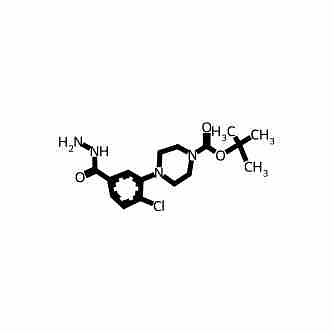 CC(C)(C)OC(=O)N1CCN(c2cc(C(=O)NN)ccc2Cl)CC1